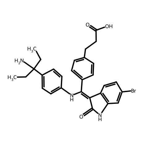 CCC(N)(CC)c1ccc(N/C(=C2\C(=O)Nc3cc(Br)ccc32)c2ccc(CCC(=O)O)cc2)cc1